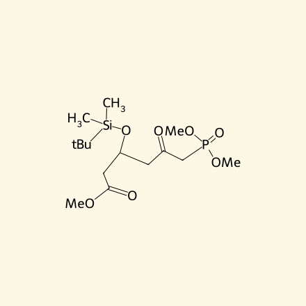 COC(=O)CC(CC(=O)CP(=O)(OC)OC)O[Si](C)(C)C(C)(C)C